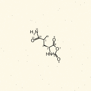 CC(C[C@@H]1NC(=O)OC1=O)C(N)=O